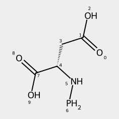 O=C(O)C[C@H](NP)C(=O)O